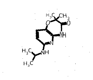 CC(C)Nc1ccc2c(n1)NC(=O)C(C)(C)O2